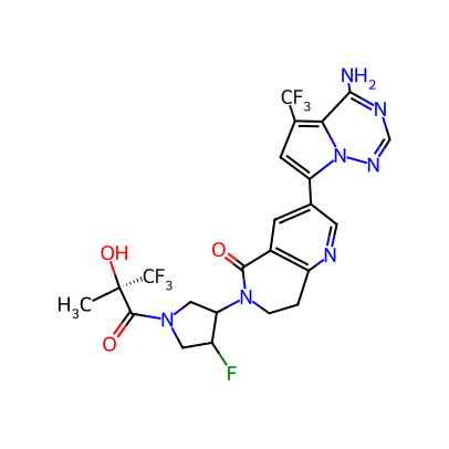 C[C@@](O)(C(=O)N1CC(F)C(N2CCc3ncc(-c4cc(C(F)(F)F)c5c(N)ncnn45)cc3C2=O)C1)C(F)(F)F